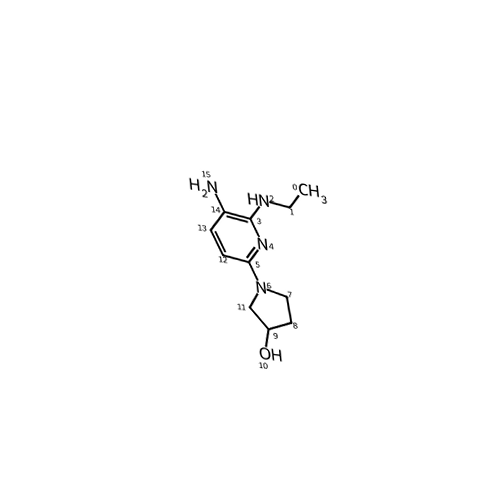 CCNc1nc(N2CCC(O)C2)ccc1N